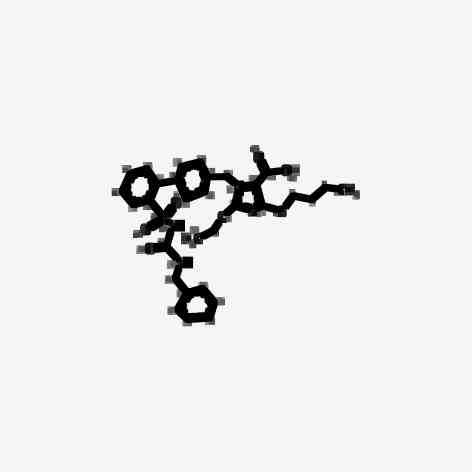 CCCCSc1nc(CCC)n(Cc2ccc(-c3ccccc3S(=O)(=O)NC(=O)NCc3ccccc3)cc2)c1C(=O)O